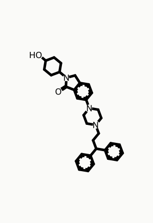 O=C1c2cc(N3CCN(CCC(c4ccccc4)c4ccccc4)CC3)ccc2CN1C1CCC(O)CC1